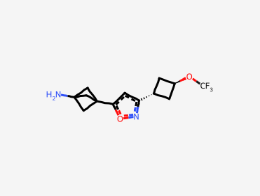 NC12CC(c3cc([C@H]4C[C@H](OC(F)(F)F)C4)no3)(C1)C2